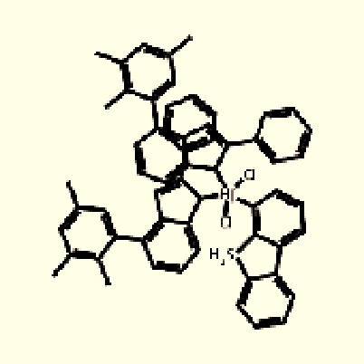 Cc1cc(C)c(C)c(-c2cccc3c2C=C(c2ccccc2)[CH]3[Hf]([Cl])([Cl])([c]2cccc3c2[SiH2]c2ccccc2-3)[CH]2C(c3ccccc3)=Cc3c(-c4cc(C)cc(C)c4C)cccc32)c1